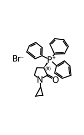 O=C1[C@H]([P+](c2ccccc2)(c2ccccc2)c2ccccc2)CCN1C1CC1.[Br-]